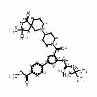 COC(=O)c1ccc(-c2cc(C(=O)N3CCC(N4CCCC5(C4)CC(C)(C)OC5=O)CC3)c(NC(=O)OC(C)(C)C)s2)cc1